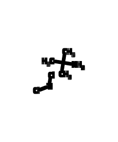 CC(C)(C)N.[Cl][Ti][Cl]